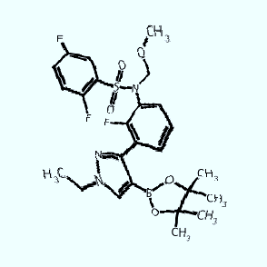 CCn1cc(B2OC(C)(C)C(C)(C)O2)c(-c2cccc(N(COC)S(=O)(=O)c3cc(F)ccc3F)c2F)n1